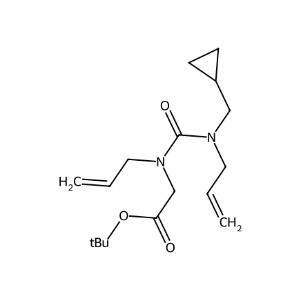 C=CCN(CC(=O)OC(C)(C)C)C(=O)N(CC=C)CC1CC1